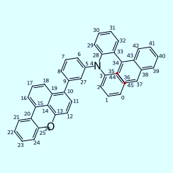 c1ccc(N(c2cccc(-c3ccc4c5c(cccc35)-c3ccccc3O4)c2)c2ccccc2-c2cccc3ccccc23)cc1